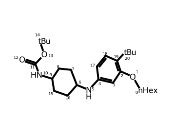 CCCCCCOc1cc(NC2CCC(NC(=O)OC(C)(C)C)CC2)ccc1C(C)(C)C